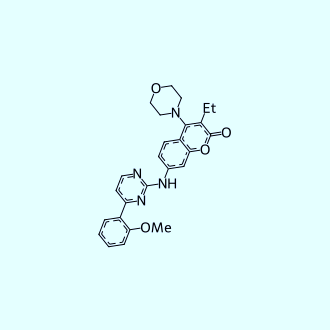 CCc1c(N2CCOCC2)c2ccc(Nc3nccc(-c4ccccc4OC)n3)cc2oc1=O